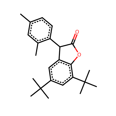 Cc1ccc(C2C(=O)Oc3c2cc(C(C)(C)C)cc3C(C)(C)C)c(C)c1